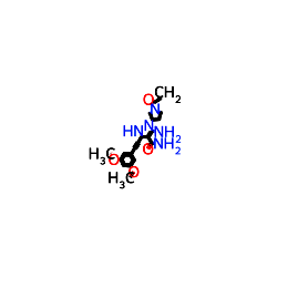 C=CC(=O)N1CC/C(=N\C(N)=C(/C(=N)C#Cc2cc(OC)cc(OC)c2)C(N)=O)C1